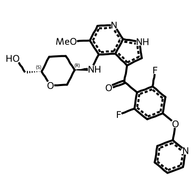 COc1cnc2[nH]cc(C(=O)c3c(F)cc(Oc4ccccn4)cc3F)c2c1N[C@@H]1CC[C@@H](CO)OC1